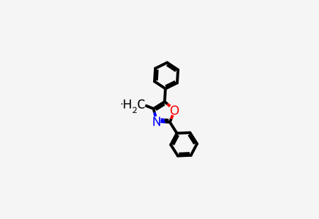 [CH2]c1nc(-c2ccccc2)oc1-c1ccccc1